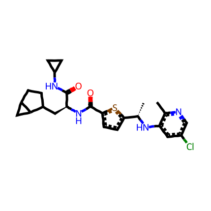 Cc1ncc(Cl)cc1N[C@@H](C)c1ccc(C(=O)N[C@@H](CC2CCC3CC32)C(=O)NC2CC2)s1